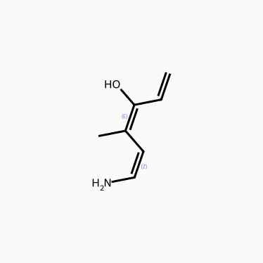 C=C/C(O)=C(C)\C=C/N